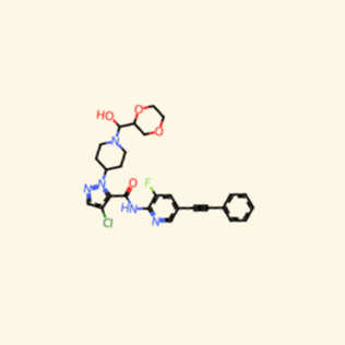 O=C(Nc1ncc(C#Cc2ccccc2)cc1F)c1c(Cl)cnn1C1CCN(C(O)C2COCCO2)CC1